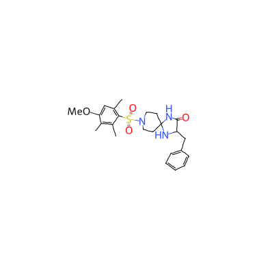 COc1cc(C)c(S(=O)(=O)N2CCC3(CC2)NC(=O)C(Cc2ccccc2)N3)c(C)c1C